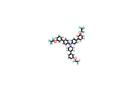 FC(F)=C(F)Oc1cccc(C2=CCC(N(c3ccc(-c4cccc(OC(F)=C(F)F)c4)cc3)c3ccc(-c4cccc(OC(F)=C(F)F)c4)cc3)C=C2)c1